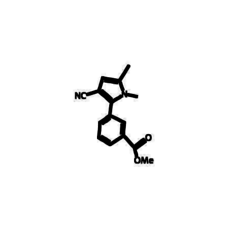 COC(=O)c1cccc(-c2c(C#N)cc(C)n2C)c1